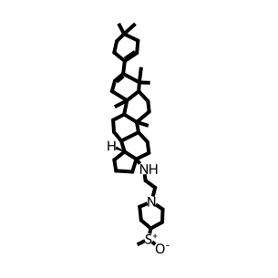 C[S+]([O-])C1CCN(CCNC23CCC[C@@H]2C2CCC4C(C)(CCC5C(C)(C)C(C6=CCC(C)(C)CC6)=CCC54C)C2CC3)CC1